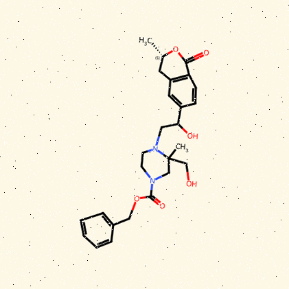 C[C@H]1Cc2cc(C(O)CN3CCN(C(=O)OCc4ccccc4)CC3(C)CO)ccc2C(=O)O1